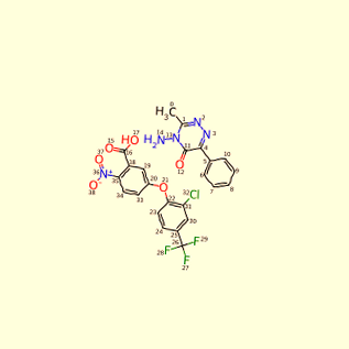 Cc1nnc(-c2ccccc2)c(=O)n1N.O=C(O)c1cc(Oc2ccc(C(F)(F)F)cc2Cl)ccc1[N+](=O)[O-]